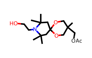 CC(=O)OCC1(C)COC2(CC(C)(C)N(CCO)C(C)(C)C2)OC1